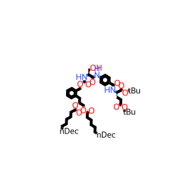 CCCCCCCCCCCCCCCC(=O)OCC(Cc1ccccc1COC(=O)N[C@@H](CO)C(=O)Nc1ccc(C(=O)N[C@@H](CCC(=O)OC(C)(C)C)C(=O)OC(C)(C)C)cc1)OC(=O)CCCCCCCCCCCCCCC